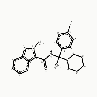 Cn1nc2ccccc2c1C(=O)NC(C)(c1ccc(F)cc1)N1CCCCC1